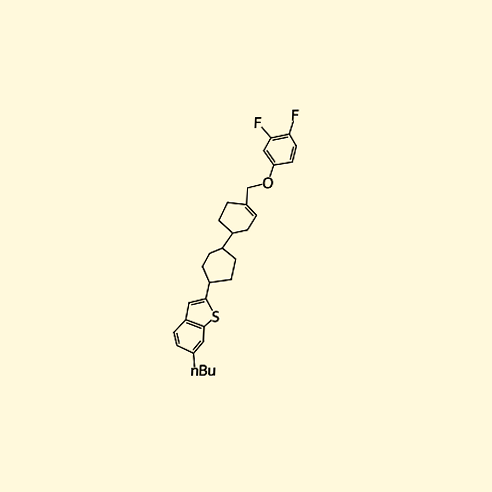 CCCCc1ccc2cc(C3CCC(C4CC=C(COc5ccc(F)c(F)c5)CC4)CC3)sc2c1